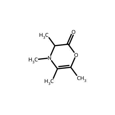 CC1=C(C)N(C)C(C)C(=O)O1